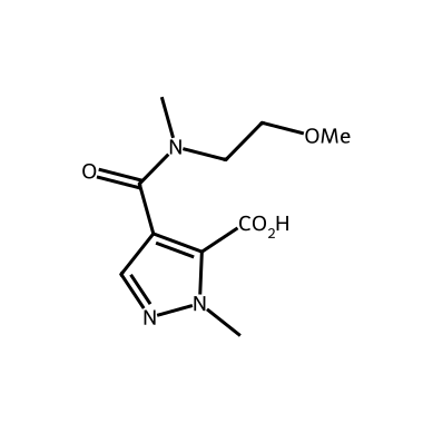 COCCN(C)C(=O)c1cnn(C)c1C(=O)O